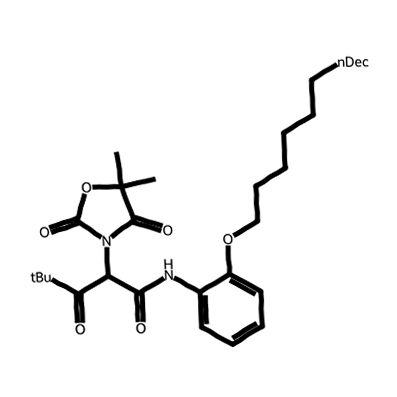 CCCCCCCCCCCCCCCCOc1ccccc1NC(=O)C(C(=O)C(C)(C)C)N1C(=O)OC(C)(C)C1=O